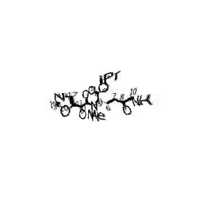 CO[C@@H](C(=O)N[C@@H](CCC(=O)C=N)C(=O)OC(C)C)c1cnco1